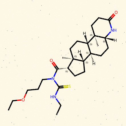 CCNC(=S)N(CCCOCC)C(=O)[C@H]1CC[C@H]2[C@@H]3CC[C@H]4NC(=O)CC[C@]4(C)[C@H]3CC[C@]12C